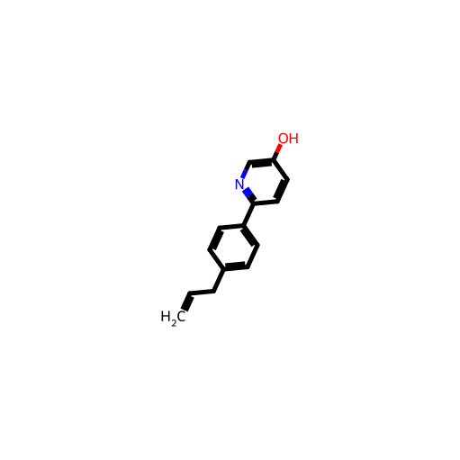 C=CCc1ccc(-c2ccc(O)cn2)cc1